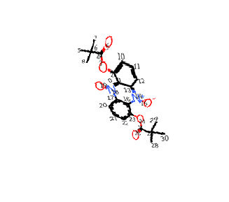 C=C1C(OC(=O)C(C)(C)C)=CC=C/C1=[N+](\[O-])c1c(N=O)cccc1OC(=O)C(C)(C)C